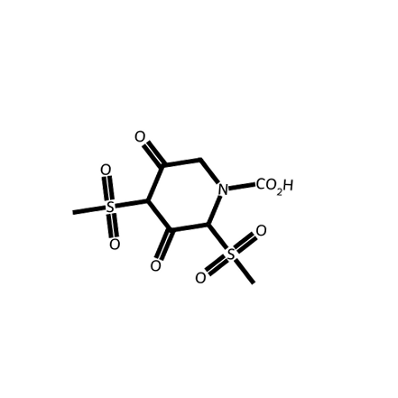 CS(=O)(=O)C1C(=O)CN(C(=O)O)C(S(C)(=O)=O)C1=O